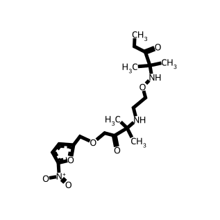 CCC(=O)C(C)(C)NOCCNC(C)(C)C(=O)COCc1ccc([N+](=O)[O-])o1